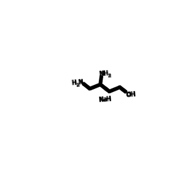 NCC(N)CCO.[NaH]